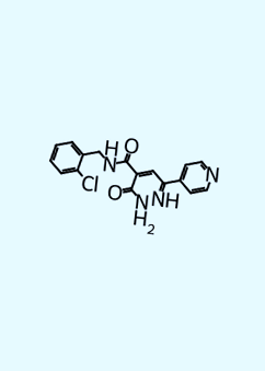 N=C(/C=C(\C(N)=O)C(=O)NCc1ccccc1Cl)c1ccncc1